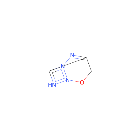 C1On2[nH]c3[n+]2N=C13